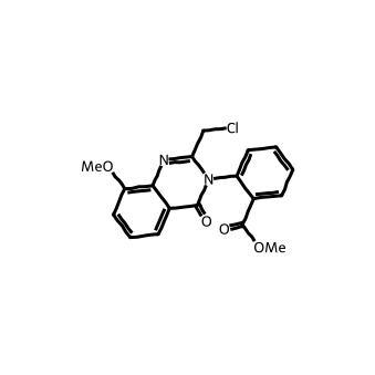 COC(=O)c1ccccc1-n1c(CCl)nc2c(OC)cccc2c1=O